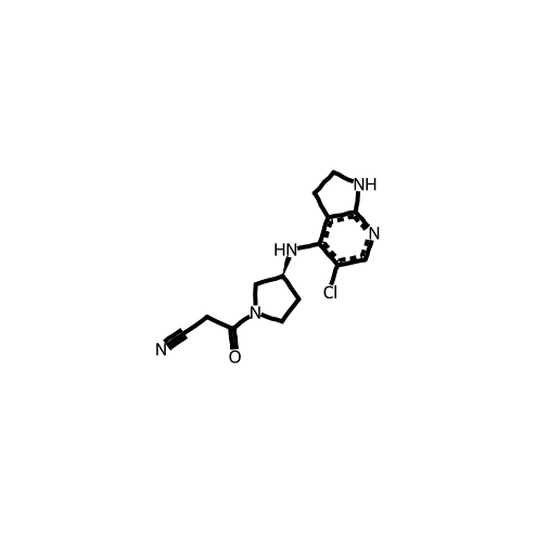 N#CCC(=O)N1CC[C@H](Nc2c(Cl)cnc3c2CCN3)C1